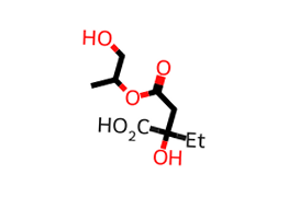 CCC(O)(CC(=O)OC(C)CO)C(=O)O